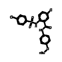 CCCCOc1ccc(NC(=O)c2cc(Cl)ccc2NS(=O)(=O)c2ccc(Cl)cc2)cc1